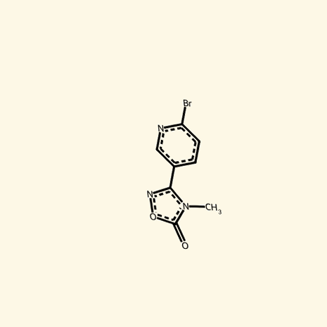 Cn1c(-c2ccc(Br)nc2)noc1=O